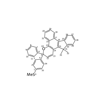 CSc1ccc(C2(c3ccccc3)C=Cc3c4c(c5ccccc5c3O2)-c2ccccc2C4(C)C)cc1